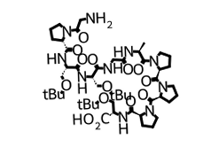 C[C@H](NC(=O)CNC(=O)[C@H](COC(C)(C)C)NC(=O)[C@H](COC(C)(C)C)NC(=O)[C@@H]1CCCN1C(=O)CN)C(=O)N1CCC[C@H]1C(=O)N1CCC[C@H]1C(=O)N1CCC[C@H]1C(=O)N[C@@H](COC(C)(C)C)C(=O)O